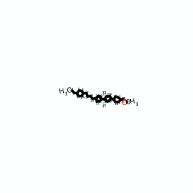 CCCC1CCC(CCCCc2ccc(-c3c(F)cc(C4CCC(COC)CC4)cc3F)cc2)CC1